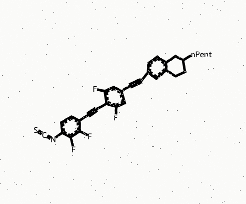 CCCCCC1CCc2cc(C#Cc3cc(F)c(C#Cc4ccc(N=C=S)c(F)c4F)c(F)c3)ccc2C1